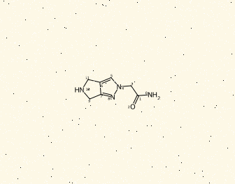 NC(=O)Cn1cc2c(n1)CNC2